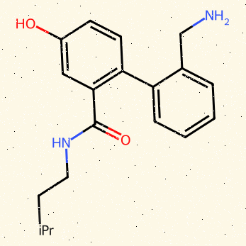 CC(C)CCNC(=O)c1cc(O)ccc1-c1ccccc1CN